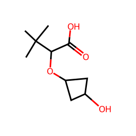 CC(C)(C)C(OC1CC(O)C1)C(=O)O